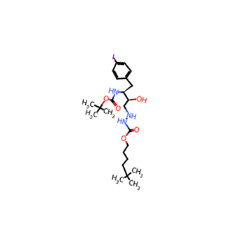 CC(C)(C)CCCCOC(=O)NNC[C@H](O)[C@H](Cc1ccc(I)cc1)NC(=O)OC(C)(C)C